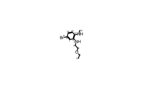 CCOCCNc1cc(Br)ccc1NC